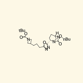 CCCCON1C(=O)N2C[C@@H]1CC[C@H]2c1nnc(CCCC2CN(C(=O)OC(C)(C)C)C2)o1